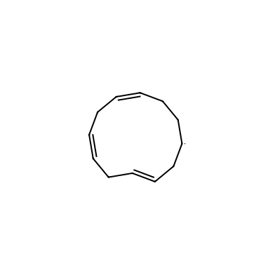 [CH]1C/C=C/C/C=C\C/C=C\CC1